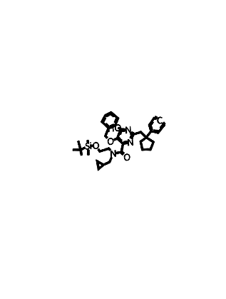 CC(C)(C)[Si](C)(C)OCCN(CC1CC1)C(=O)c1nc(CC2(c3ccccc3)CCCC2)nc(O)c1OCc1ccccc1